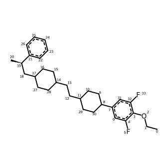 CCOc1c(F)cc(C2CCC(CCC3CCC(C[C@@H](C)c4ccccc4)CC3)CC2)cc1F